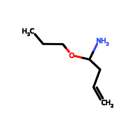 C=CCC(N)OCCC